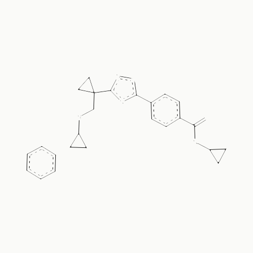 O=C(NC1CC1)c1ccc(-c2nc(C3(CNC4C[C@@H]4c4ccccc4)CC3)no2)cc1